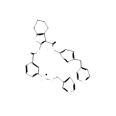 O=C(Nc1sc2c(c1C(=O)Nc1ccc(Cc3ccncc3)cc1)CCCC2)c1cccc(S(=O)(=O)NCc2cccnc2)c1